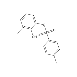 Cc1ccc(S(=O)(=O)Oc2cccc(C)c2O)cc1